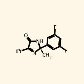 CC(C)C1=N[C@@](C)(c2cc(F)cc(F)c2)NC1=O